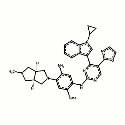 COc1cc(N2C[C@H]3CN(C)C[C@H]3C2)c(N)cc1Nc1ncc(-c2ncco2)c(-c2cn(C3CC3)c3ccccc23)n1